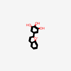 Oc1cc(-c2ccc3ccccc3[o+]2)cc(O)c1O